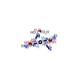 CCn1nnc([C@H]2O[C@@H](n3cnc4c(N[C@H]5CC[C@H](Nc6nc(NCCc7cn(C)cn7)nc7c6ncn7[C@@H]6O[C@H](c7nnn(CC)n7)[C@@H](O)[C@H]6O)CC5)nc(NCCc5cn(C)cn5)nc43)[C@H](O)[C@@H]2O)n1.O.O=C(O)/C=C\C(=O)O